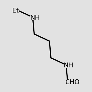 CCNCCCNC=O